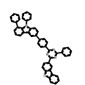 c1ccc(-c2nc(-c3ccc(-c4ccc5c(c4)c4cccc(-c6ccccc6)c4n5-c4ccccc4)cc3)nc(-c3ccc4oc5ccccc5c4c3)n2)cc1